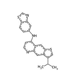 CC(C)c1csc2cc3c(Nc4ccc5scnc5c4)ccnc3cc12